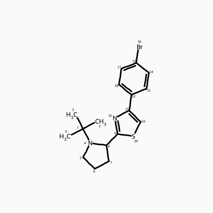 CC(C)(C)N1CCCC1c1nc(-c2ccc(Br)cc2)cs1